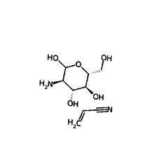 C=CC#N.N[C@H]1C(O)O[C@H](CO)[C@@H](O)[C@@H]1O